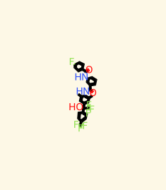 Cc1cc(C(O)(c2ccc(C(F)(F)F)cc2)C(F)(F)F)cc(C)c1NC(=O)c1cccc(NC(=O)c2ccc(F)cc2)c1